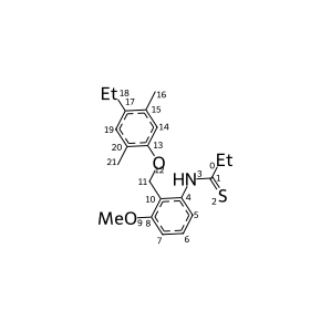 CCC(=S)Nc1cccc(OC)c1COc1cc(C)c(CC)cc1C